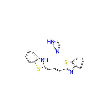 C(=Cc1nc2ccccc2s1)C=C1Nc2ccccc2S1.c1c[nH]cn1